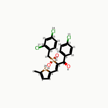 Cc1ccc(C=C(C(=O)c2ccc(Cl)cc2)S(=O)(=O)Cc2ccc(Cl)cc2Cl)s1